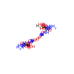 C[PH]1(O)OCC2O[C@@H](N3C(SCCNC(=O)Cn4cc(COCCOCCOCc5cn(CC(=O)NCCSc6nc7c(=O)[nH]c(N)nc7n6[C@@H]6OC7COP(O)O[C@H]7[C@@H]6O)nn5)nn4)=NC4C(=O)N=C(N)N=C43)[C@@H](O)[C@@H]2O1